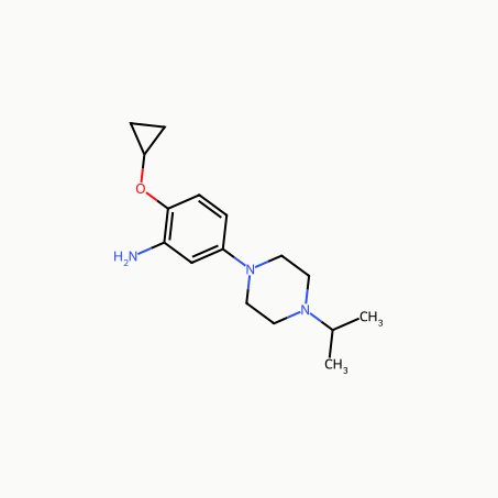 CC(C)N1CCN(c2ccc(OC3CC3)c(N)c2)CC1